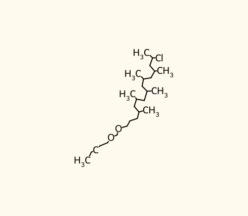 CCCCCOCOCCCC(C)CC(C)CC(C)CC(C)CC(C)CC(C)Cl